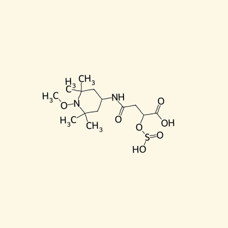 CON1C(C)(C)CC(NC(=O)CC(OS(=O)O)C(=O)O)CC1(C)C